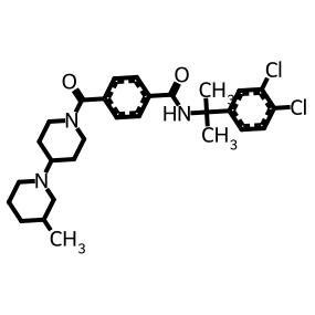 CC1CCCN(C2CCN(C(=O)c3ccc(C(=O)NC(C)(C)c4ccc(Cl)c(Cl)c4)cc3)CC2)C1